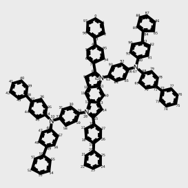 c1ccc(-c2ccc(-c3cc4cc5c(cc(-c6ccc(-c7ccccc7)cc6)n5-c5ccc(N(c6ccc(-c7ccccc7)cc6)c6ccc(-c7ccccc7)cc6)cc5)cc4n3-c3ccc(N(c4ccc(-c5ccccc5)cc4)c4ccc(-c5ccccc5)cc4)cc3)cc2)cc1